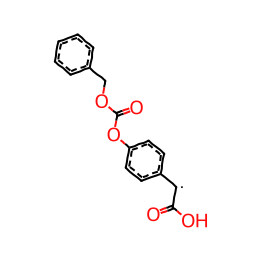 O=C(O)[CH]c1ccc(OC(=O)OCc2ccccc2)cc1